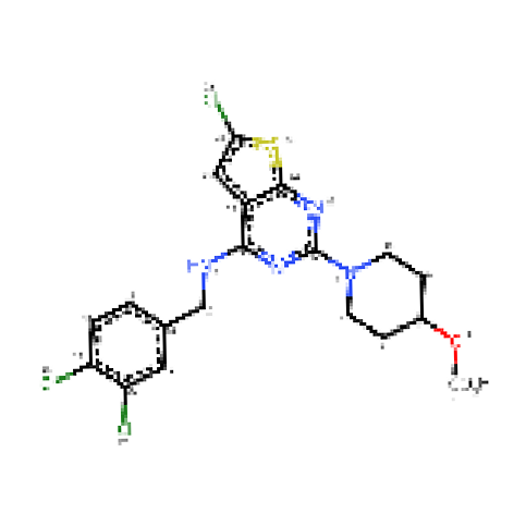 O=C(O)OC1CCN(c2nc(NCc3ccc(Cl)c(Cl)c3)c3cc(Cl)sc3n2)CC1